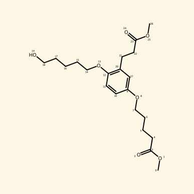 COC(=O)CCCCOc1ccc(OCCCCCO)c(CCC(=O)OC)c1